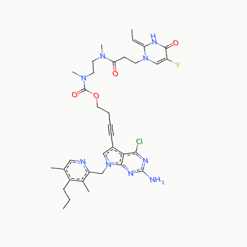 CC=C1NC(=O)C(F)=CN1CCC(=O)N(C)CCN(C)C(=O)OCCC#Cc1cn(Cc2ncc(C)c(CCC)c2C)c2nc(N)nc(Cl)c12